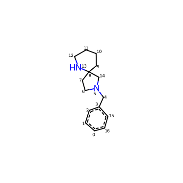 c1ccc(CN2CCC3(CCCCN3)C2)cc1